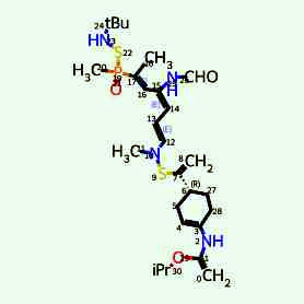 C=C(NC1=CC[C@H](C(=C)SN(C)/C=C/C=C(\C=C(/C)P(C)(=O)SNC(C)(C)C)NC=O)CC1)OC(C)C